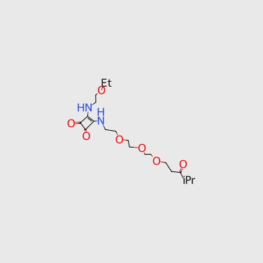 CCOCCNc1c(NCCOCCOCCOCCC(=O)C(C)C)c(=O)c1=O